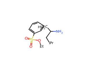 CC(C)CC(N)C(=O)O.CCOS(=O)(=O)c1ccccc1